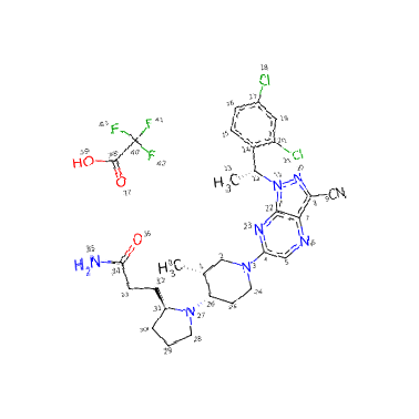 C[C@@H]1CN(c2cnc3c(C#N)nn([C@H](C)c4ccc(Cl)cc4Cl)c3n2)CC[C@@H]1N1CCC[C@H]1CCC(N)=O.O=C(O)C(F)(F)F